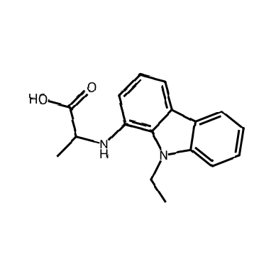 CCn1c2ccccc2c2cccc(NC(C)C(=O)O)c21